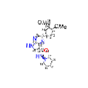 COc1ccc(-c2cnc3[nH]cc(C(=O)NN4CCCCC4)c3n2)cc1OC